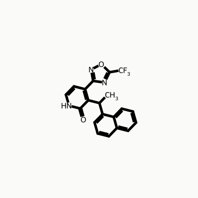 CC(c1c(-c2noc(C(F)(F)F)n2)cc[nH]c1=O)c1cccc2ccccc12